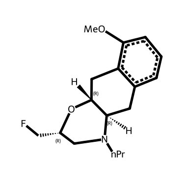 CCCN1C[C@H](CF)O[C@@H]2Cc3c(cccc3OC)C[C@H]21